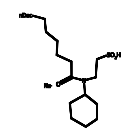 CCCCCCCCCCCCCCCC(=O)N(CCS(=O)(=O)O)C1CCCCC1.[Na]